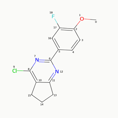 COc1ccc(-c2nc(Cl)c3c(n2)CCC3)cc1F